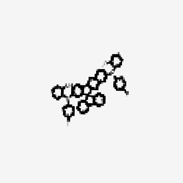 Cc1ccccc1N(c1ccc(F)cc1)c1ccc2c(c1)C1(c3ccccc3-c3ccccc31)c1cc3cc(N(c4ccc(F)cc4)c4ccccc4C)ccc3cc1-2